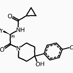 CC(C)[C@@H](NC(=O)C1CC1)C(=O)N1CCC(O)(c2ccc(Cl)cc2)CC1